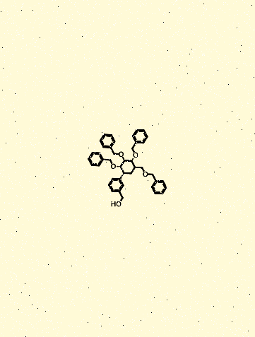 OCc1cccc([C@@H]2C[C@H](COCc3ccccc3)[C@@H](OCc3ccccc3)[C@H](OCc3ccccc3)[C@H]2OCc2ccccc2)c1